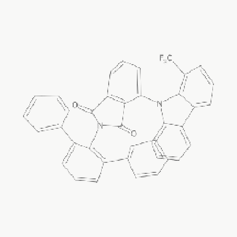 O=C1c2cccc(-n3c4ccccc4c4cccc(C(F)(F)F)c43)c2C(=O)N1c1c(-c2ccccc2)cccc1-c1ccccc1